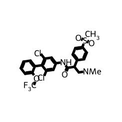 CNCC(C(=O)Nc1cc(Cl)c(-c2ccccc2OC(F)(F)F)c(Cl)c1)c1ccc(S(C)(=O)=O)cc1